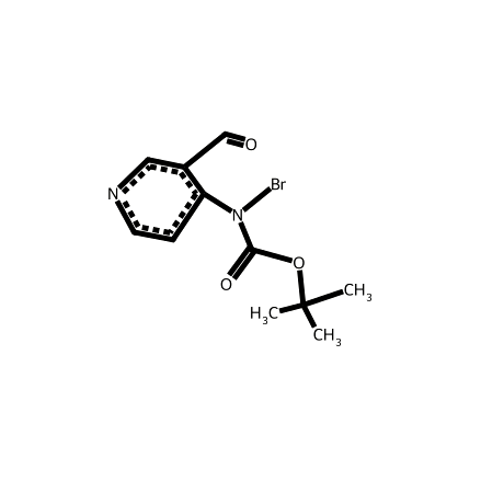 CC(C)(C)OC(=O)N(Br)c1ccncc1C=O